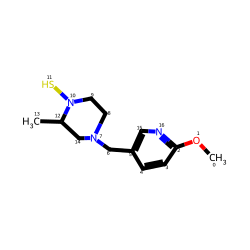 COc1ccc(CN2CCN(S)C(C)C2)cn1